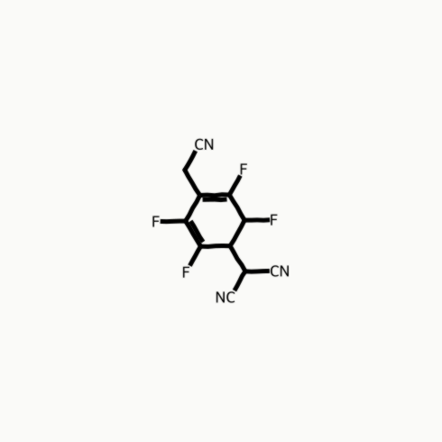 N#CCC1=C(F)C(F)C(C(C#N)C#N)C(F)=C1F